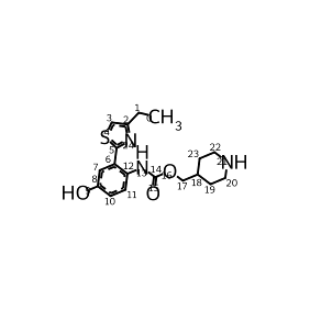 CCc1csc(-c2cc(O)ccc2NC(=O)OCC2CCNCC2)n1